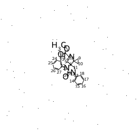 COC(=O)CCC1(C2(N)CC2)CN(c2ccccc2)C(=O)N1c1ccccc1